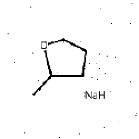 CC1CCCO1.[NaH]